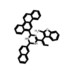 C/C=C(/C1=NC(c2cc3c4ccccc4ccc3c3ccccc23)NC(c2ccc3ccccc3c2)N1)c1c(N)oc2ccccc12